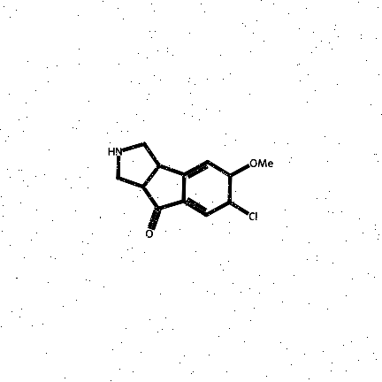 COC1C=C2C(=CC1Cl)C(=O)C1CNCC21